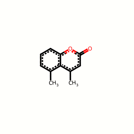 Cc1cccc2oc(=O)cc(C)c12